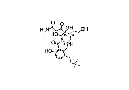 C[Si](C)(C)CCc1ccc(O)c2c1C[C@H]1C[C@@H](CCO)[C@@](O)(C(=O)CC(N)=O)C(O)=C1C2=O